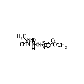 CCOC(=O)c1ccc2nc(N3CC(NC(=O)c4nc(Cl)c(CC)[nH]4)C3)sc2c1